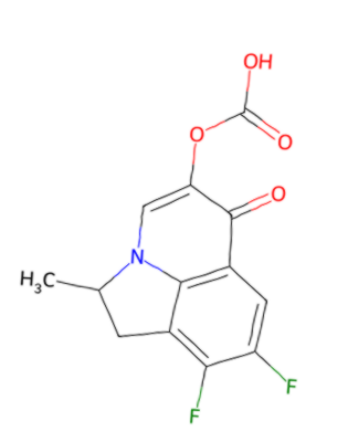 CC1Cc2c(F)c(F)cc3c(=O)c(OC(=O)O)cn1c23